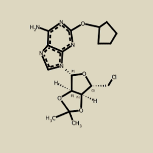 CC1(C)O[C@@H]2[C@H](O1)[C@@H](CCl)O[C@H]2n1cnc2c(N)nc(OC3CCCC3)nc21